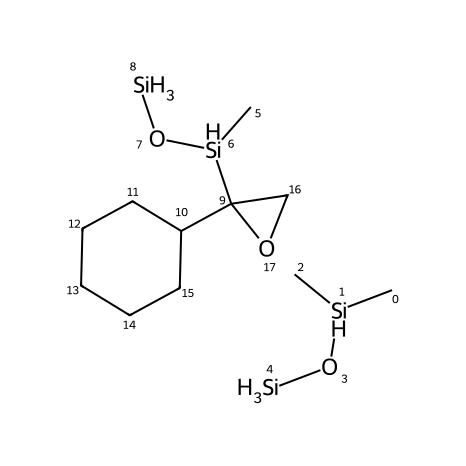 C[SiH](C)O[SiH3].C[SiH](O[SiH3])C1(C2CCCCC2)CO1